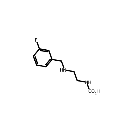 O=C(O)NCCNCc1cccc(F)c1